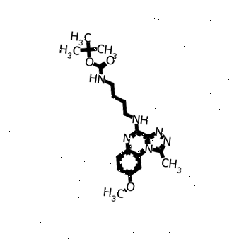 COc1ccc2nc(NCCCCNC(=O)OC(C)(C)C)c3nnc(C)n3c2c1